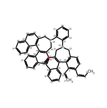 C=Cc1c(/C=C\C)ccc2c1-c1c(ccc3ccccc13)CP(c1ccccc1P1Cc3ccc4ccccc4c3-c3c(ccc4ccccc34)C1)C2